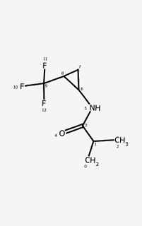 CC(C)C(=O)NC1CC1C(F)(F)F